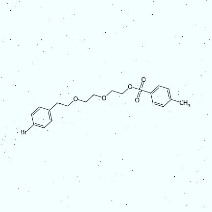 Cc1ccc(S(=O)(=O)OCCOCCOCCc2ccc(Br)cc2)cc1